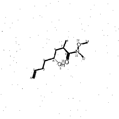 C=CCC[C@@H](O)CC(C)C(=O)N(C)OC